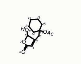 CC(=O)OC1(CC2=CC(=O)OC2O)CCCCC1